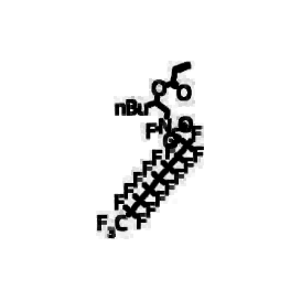 C=CC(=O)OC(CCCC)CN(F)S(=O)(=O)C(F)(F)C(F)(F)C(F)(F)C(F)(F)C(F)(F)C(F)(F)C(F)(F)C(F)(F)F